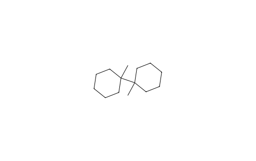 CC1(C2(C)CCCCC2)CCCCC1